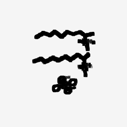 CCCCCCCCC(C)[N+](C)(C)C.CCCCCCCCC(C)[N+](C)(C)C.O=S(=O)([O-])[O-]